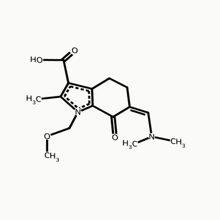 COCn1c(C)c(C(=O)O)c2c1C(=O)C(=CN(C)C)CC2